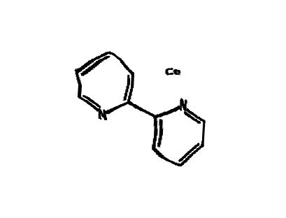 [Ce].c1ccc(-c2ccccn2)nc1